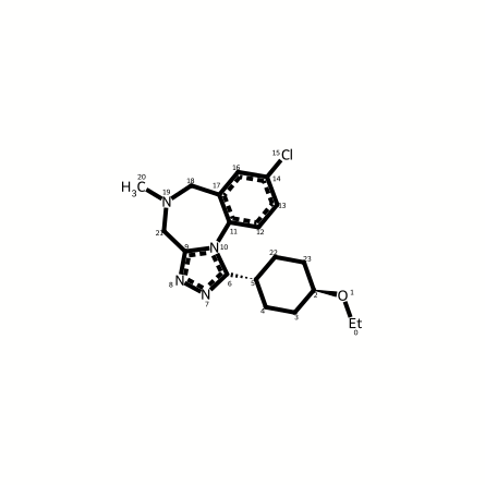 CCO[C@H]1CC[C@H](c2nnc3n2-c2ccc(Cl)cc2CN(C)C3)CC1